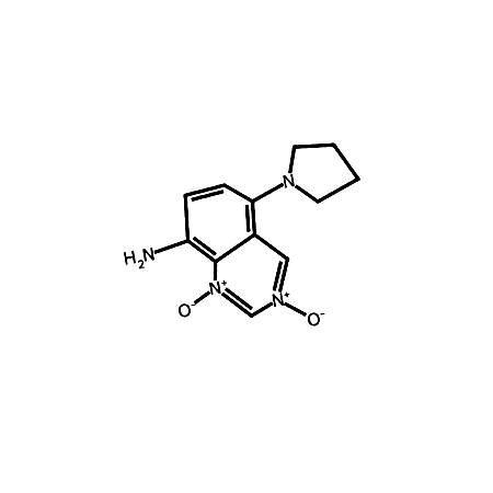 Nc1ccc(N2CCCC2)c2c[n+]([O-])c[n+]([O-])c12